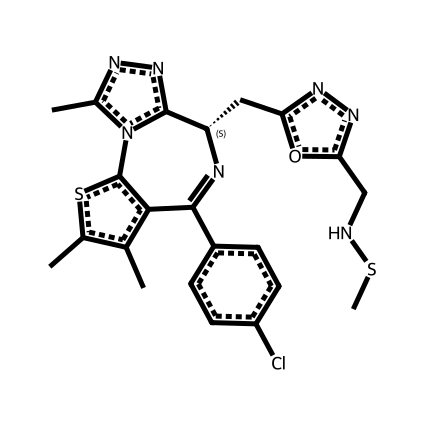 CSNCc1nnc(C[C@@H]2N=C(c3ccc(Cl)cc3)c3c(sc(C)c3C)-n3c(C)nnc32)o1